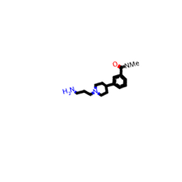 CNC(=O)c1cccc(C2CCN(CCCN)CC2)c1